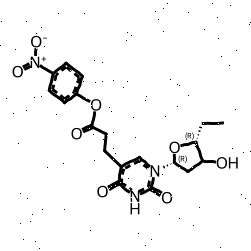 CC[C@H]1O[C@@H](n2cc(CCC(=O)Oc3ccc([N+](=O)[O-])cc3)c(=O)[nH]c2=O)CC1O